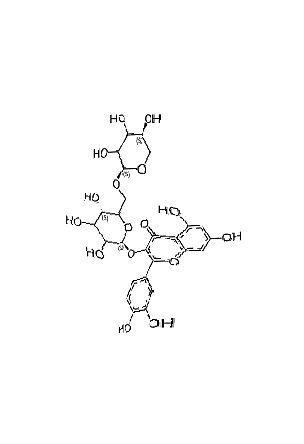 O=c1c(O[C@@H]2OC(CO[C@@H]3OC[C@H](O)C(O)C3O)[C@@H](O)C(O)C2O)c(-c2ccc(O)c(O)c2)oc2cc(O)cc(O)c12